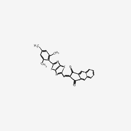 Cc1cc(C)c(-c2nc3sc(C=C4C(=O)c5cc6ccccc6cc5C4=O)nc3s2)c(C)c1